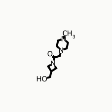 CN1CCN(CC(=O)N2CC(CO)C2)CC1